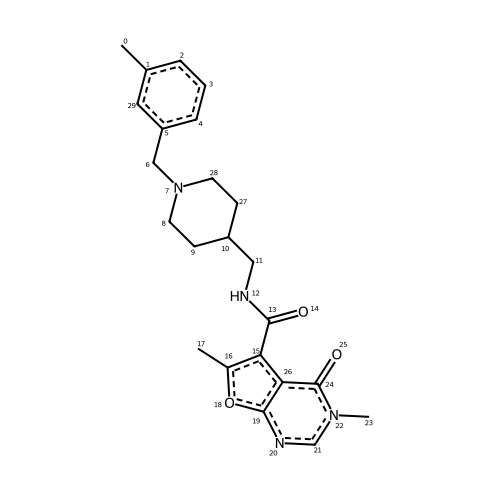 Cc1cccc(CN2CCC(CNC(=O)c3c(C)oc4ncn(C)c(=O)c34)CC2)c1